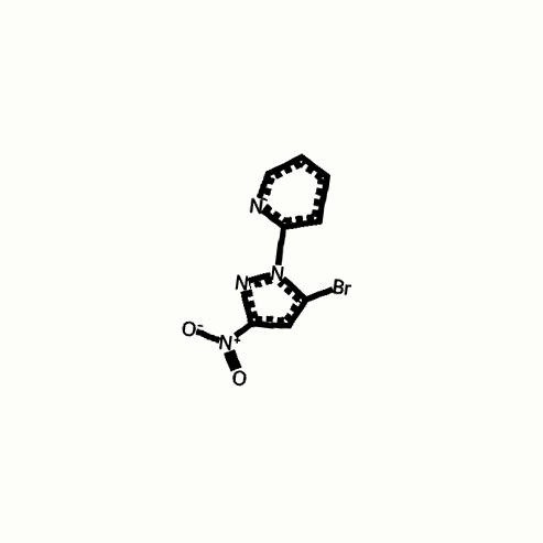 O=[N+]([O-])c1cc(Br)n(-c2ccccn2)n1